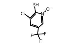 [O-][n+]1cc(C(F)(F)F)cc(Cl)c1S